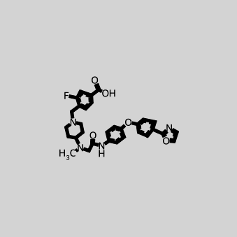 CN(CC(=O)Nc1ccc(Oc2ccc(-c3ncco3)cc2)cc1)C1CCN(Cc2ccc(C(=O)O)cc2F)CC1